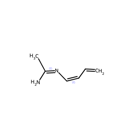 C=C/C=C\N=C(\C)N